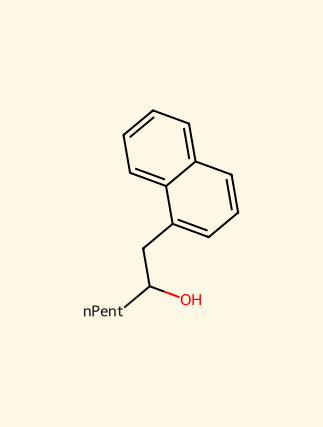 CCCCCC(O)Cc1cccc2ccccc12